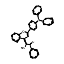 N#C/C(C(=O)c1ccccc1)=C1/C=C(c2ccc(N(c3ccccc3)c3ccccc3)cc2)Oc2ccccc21